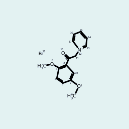 COc1ccc(OC)c(C(=O)C[n+]2ccccc2)c1.[Br-]